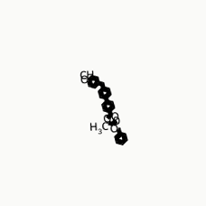 COc1ccc(Cc2ccc(-c3ccc(C(=O)OC(C)C(=O)OCc4ccccc4)cc3)cc2)cc1